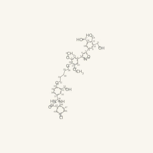 COc1cc(-c2cc(-c3cc(CO)c(CO)c(CO)c3)on2)cc(OC)c1OCCCCCOc1ccc(C2NC(=O)c3cc(Cl)ccc3N2)cc1CO